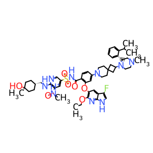 CCOc1nc2[nH]cc(F)c2cc1Oc1cc(N2CCC3(CC2)CC(N2CCN(C)C[C@H]2c2ccccc2C(C)C)C3)ccc1C(=O)NS(=O)(=O)c1cnc(NC[C@H]2CC[C@](C)(O)CC2)c([NH+](C)[O-])c1